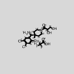 CC1(C(N)c2cc(Cl)c(Cl)cc2O)CCN(C(=O)[C@H](O)CO)CC1.O=C(O)C(F)(F)F